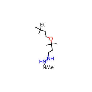 CCC(C)(C)CCOC(C)(C)CCNNNC